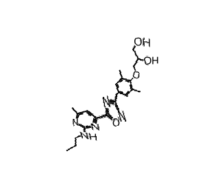 CCCNc1nc(C)cc(-c2nc(-c3cc(C)c(OCC(O)CO)c(C)c3)no2)n1